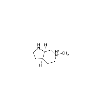 [CH2-][NH+]1CC[C@H]2CCN[C@H]2C1